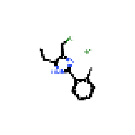 CCc1[nH]c(-c2ccccc2C)nc1CCl.Cl